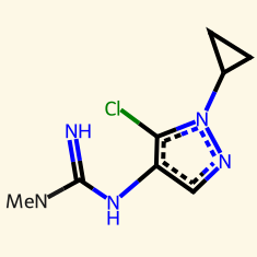 CNC(=N)Nc1cnn(C2CC2)c1Cl